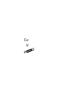 [Cu].[P]=S.[V]